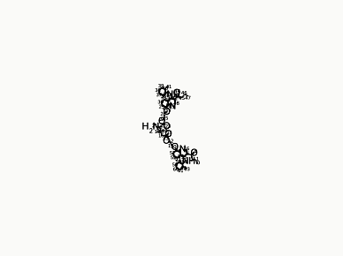 CCCC(=O)c1cnc2c(OCCOC(=O)CC(C)(C)[C@H](N)C(=O)OCCOc3cccc4c(Nc5ccccc5C)c(C(=O)CCC)cnc34)cccc2c1Nc1ccccc1C